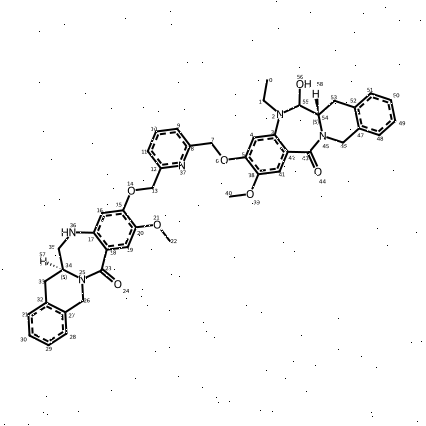 CCN1c2cc(OCc3cccc(COc4cc5c(cc4OC)C(=O)N4Cc6ccccc6C[C@H]4CN5)n3)c(OC)cc2C(=O)N2Cc3ccccc3C[C@H]2C1O